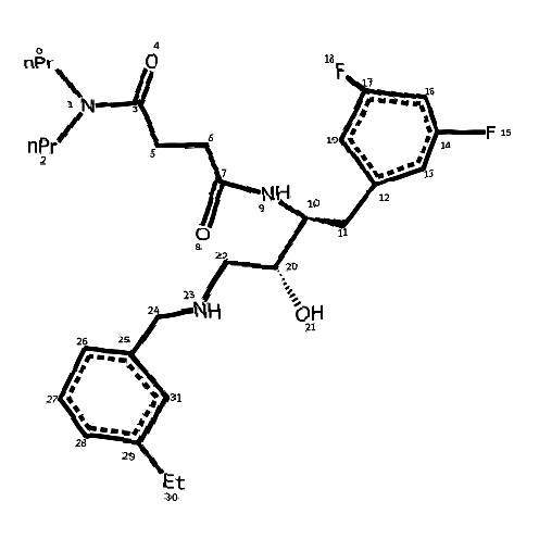 CCCN(CCC)C(=O)CCC(=O)N[C@@H](Cc1cc(F)cc(F)c1)[C@H](O)CNCc1cccc(CC)c1